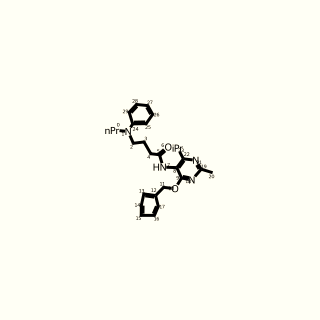 CCCN(CCCC(=O)Nc1c(OCc2ccccc2)nc(C)nc1C(C)C)c1ccccc1